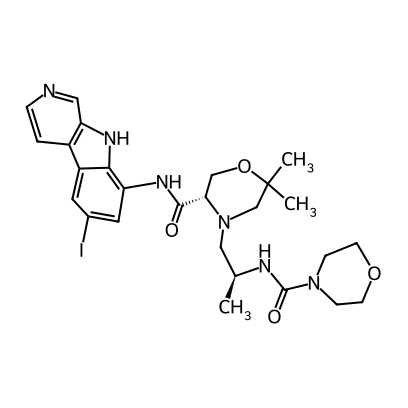 C[C@@H](CN1CC(C)(C)OC[C@H]1C(=O)Nc1cc(I)cc2c1[nH]c1cnccc12)NC(=O)N1CCOCC1